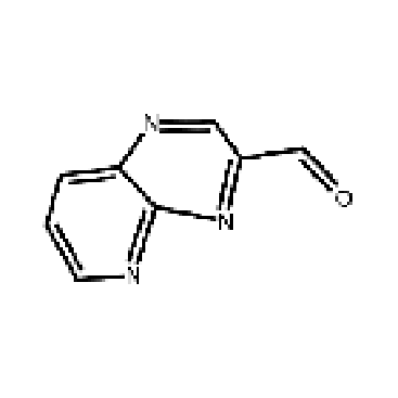 O=Cc1cnc2cccnc2n1